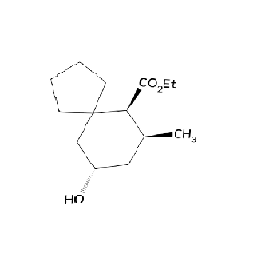 CCOC(=O)[C@H]1[C@@H](C)C[C@H](O)CC12CCCC2